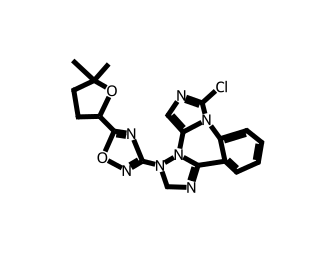 CC1(C)CCC(c2nc(N3CN=C4c5ccccc5-n5c(cnc5Cl)N43)no2)O1